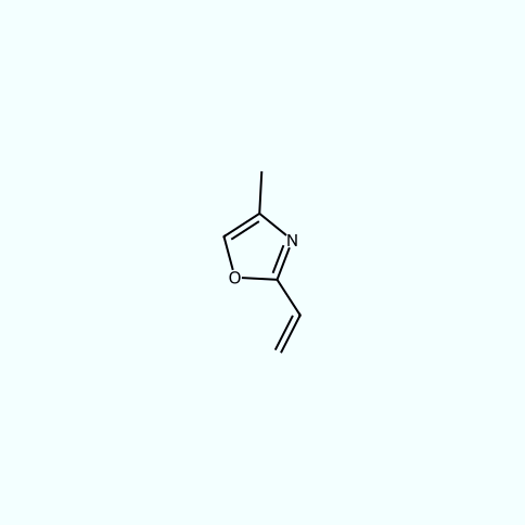 C=Cc1nc(C)co1